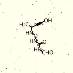 CC(C#CO)NONC(=O)BC=O